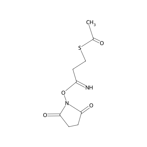 CC(=O)SCCC(=N)ON1C(=O)CCC1=O